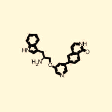 N[C@H](COc1cncc(-c2ccc3c(=O)[nH]ccc3c2)c1)Cc1c[nH]c2ccccc12